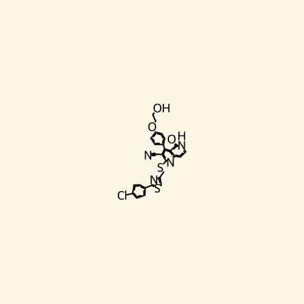 N#Cc1c(SCc2csc(-c3ccc(Cl)cc3)n2)nc2cc[nH]c(=O)c2c1-c1ccc(OCCO)cc1